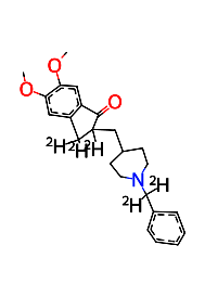 [2H]C([2H])(c1ccccc1)N1CCC(CC2([2H])C(=O)c3cc(OC)c(OC)cc3C2([2H])[2H])CC1